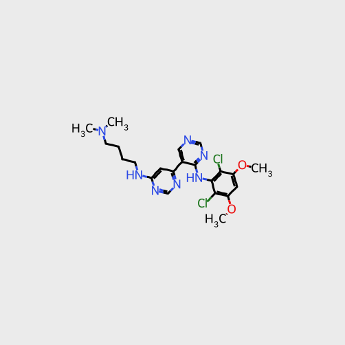 COc1cc(OC)c(Cl)c(Nc2ncncc2-c2cc(NCCCCN(C)C)ncn2)c1Cl